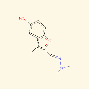 Cc1c(C=NN(C)C)oc2ccc(O)cc12